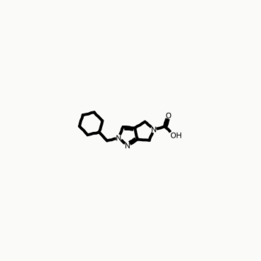 O=C(O)N1Cc2cn(CC3CCCCC3)nc2C1